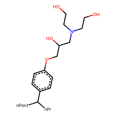 CCCCCC(CCC)c1ccc(OCC(O)CN(CCO)CCO)cc1